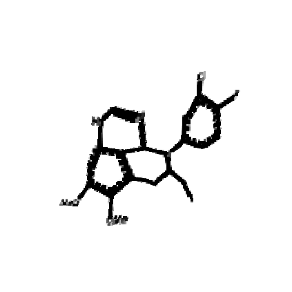 COc1cc2c3c(c1OC)CC(CI)N(c1ccc(F)c(Cl)c1)C3N=CN2